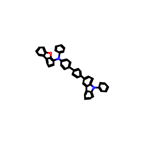 c1ccc(N(c2ccc(-c3ccc(-c4ccc5c(c4)c4ccccc4n5-c4ccccc4)cc3)cc2)c2cccc3c2oc2ccccc23)cc1